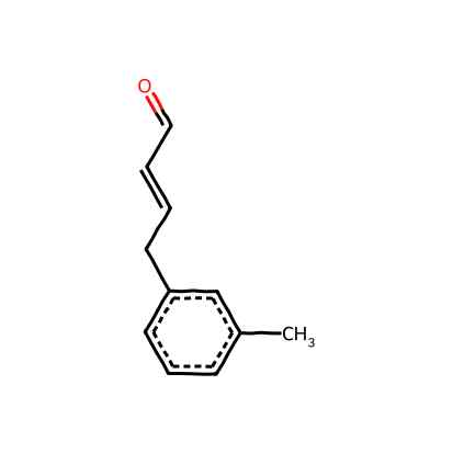 Cc1cccc(CC=CC=O)c1